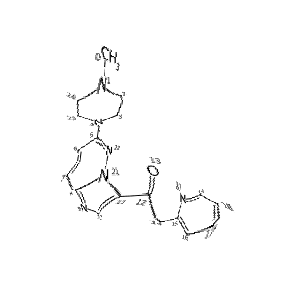 CN1CCN(c2ccc3ncc(C(=O)Cc4ccccn4)n3n2)CC1